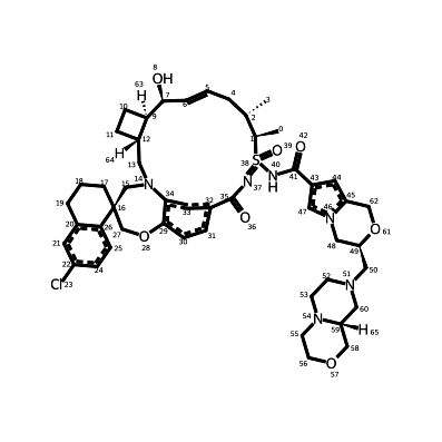 C[C@@H]1[C@@H](C)C/C=C/[C@H](O)[C@@H]2CC[C@H]2CN2C[C@@]3(CCCc4cc(Cl)ccc43)COc3ccc(cc32)C(=O)N=S1(=O)NC(=O)c1cc2n(c1)C[C@H](CN1CCN3CCOC[C@H]3C1)OC2